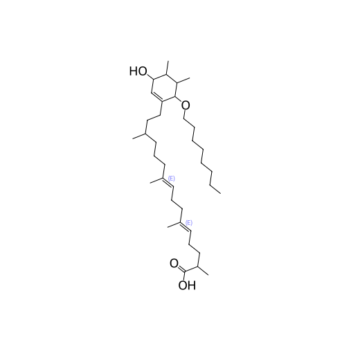 CCCCCCCCOC1C(CCC(C)CCC/C(C)=C/CC/C(C)=C/CCC(C)C(=O)O)=CC(O)C(C)C1C